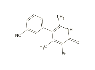 CCc1c(C)c(-c2cccc(C#N)c2)c(C)[nH]c1=O